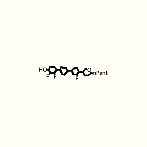 CCCCCC1CCC(c2ccc(-c3ccc(-c4ccc(O)c(F)c4F)cc3)cc2F)CO1